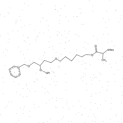 CCCCCCC(C)C(=O)OCCCCCCOCCC(COCc1ccccc1)OCCC